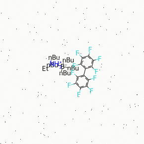 CCCC[B-](CCCC)(CCCC)CCCC.CCCC[NH2+]CC.Fc1c(F)c(F)c(-c2c(F)c(F)c(F)c(F)c2F)c(F)c1F